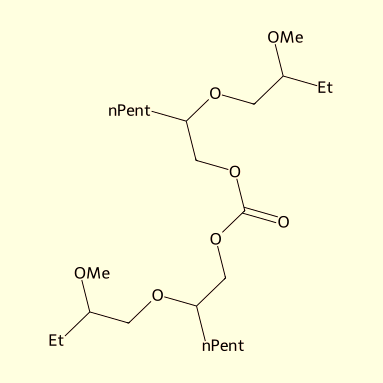 CCCCCC(COC(=O)OCC(CCCCC)OCC(CC)OC)OCC(CC)OC